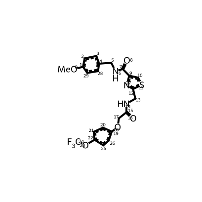 COc1ccc(CNC(=O)c2csc(CNC(=O)COc3ccc(OC(F)(F)F)cc3)n2)cc1